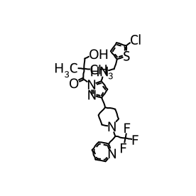 CC(C)(CO)C(=O)n1nc(C2CCN(C(c3ccccn3)C(F)(F)F)CC2)cc1NCc1ccc(Cl)s1